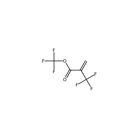 C=C(C(=O)OC(F)(F)F)C(F)(F)F